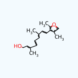 CC(C=Cc1c(C)coc1C)=CC=CC(C)=CCO